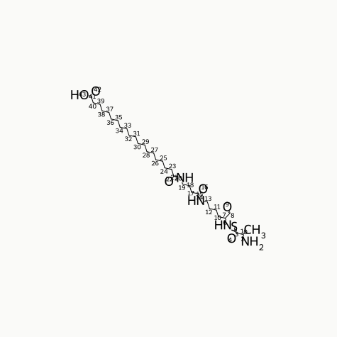 CC(N)C(=O)SNC(C=O)CCCCNC(=O)CCCNC(=O)CCCCCCCCCCCCCCCCCCC(=O)O